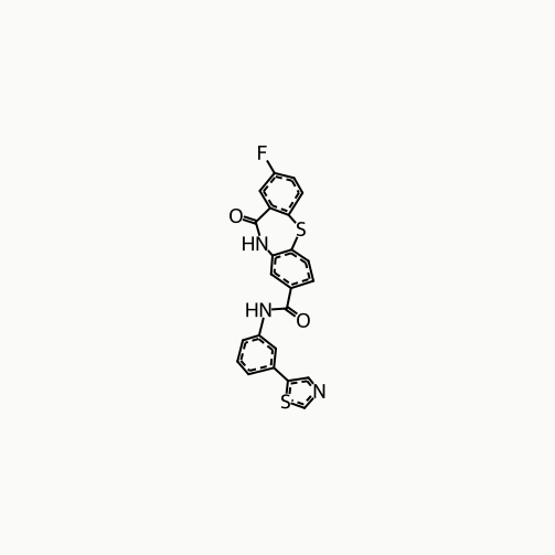 O=C(Nc1cccc(-c2cncs2)c1)c1ccc2c(c1)NC(=O)c1cc(F)ccc1S2